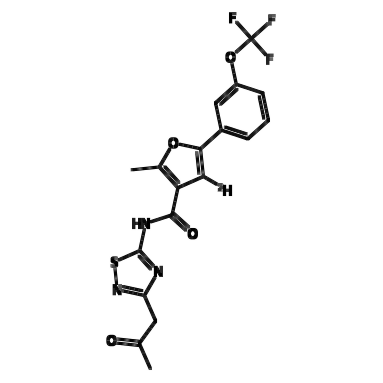 [2H]c1c(-c2cccc(OC(F)(F)F)c2)oc(C)c1C(=O)Nc1nc(CC(C)=O)ns1